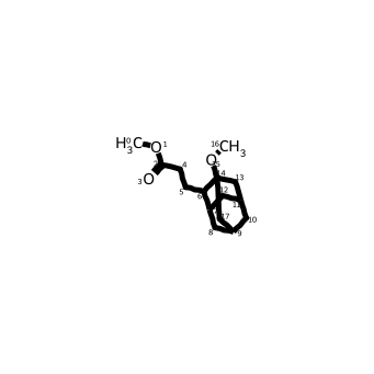 COC(=O)CCC1C2CC3CC(C2)CC1(OC)C3